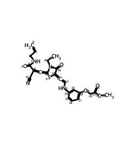 C=CCNC(=O)C(=C=c1sc(=C=CNc2cccc(OCC(=O)OC)c2)c(=O)n1CC)C#N